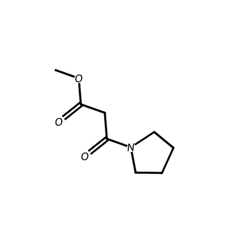 COC(=O)CC(=O)N1CCCC1